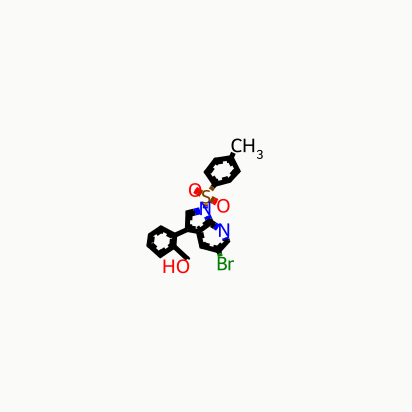 Cc1ccc(S(=O)(=O)n2cc(-c3ccccc3CO)c3cc(Br)cnc32)cc1